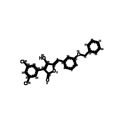 O=C1O/C(=C\c2cccc(OCc3ccccc3)c2)C(O)=C1c1cc(Cl)cc(Cl)c1